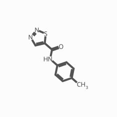 Cc1ccc(NC(=O)c2cnns2)cc1